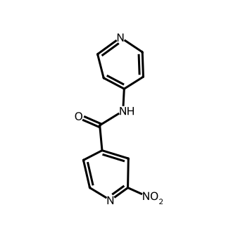 O=C(Nc1ccncc1)c1ccnc([N+](=O)[O-])c1